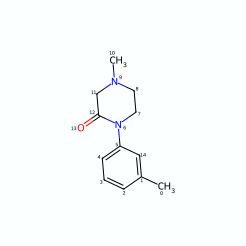 Cc1cccc(N2CCN(C)CC2=O)c1